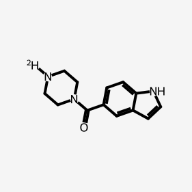 [2H]N1CCN(C(=O)c2ccc3[nH]ccc3c2)CC1